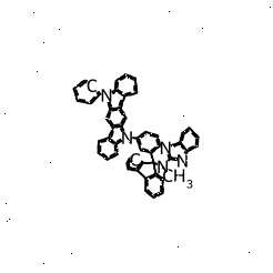 CN1c2nc3ccccc3n2-c2ccc(-n3c4ccccc4c4cc5c(cc43)c3ccccc3n5-c3ccccc3)cc2C12c1ccccc1-c1ccccc12